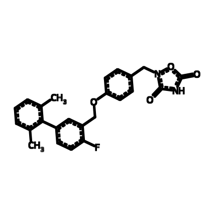 Cc1cccc(C)c1-c1ccc(F)c(COc2ccc(Cn3oc(=O)[nH]c3=O)cc2)c1